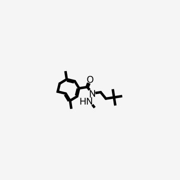 CNN(CCC(C)(C)C)C(=O)C1=C/C(C)=C/CC/C(C)=C\1